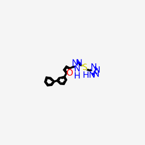 c1ccc(-c2cccc(-c3ccc(-c4nnc(SCc5nnn[nH]5)[nH]4)o3)c2)cc1